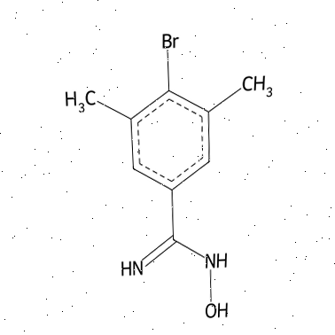 Cc1cc(C(=N)NO)cc(C)c1Br